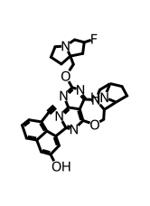 C#Cc1cccc2cc(O)cc(-c3nc4c5c(nc(OCC67CCCN6CC(F)C7)nc5n3)N3CC5CCC(N5)C3CO4)c12